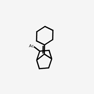 CC(=O)C1CC2CCC1C2=C1CCCCC1